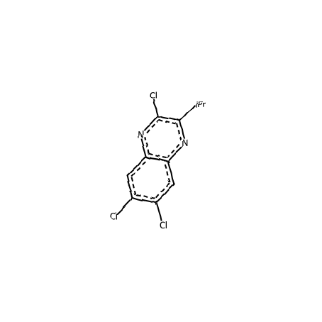 CC(C)c1nc2cc(Cl)c(Cl)cc2nc1Cl